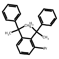 CC(C)c1cccc(C(C)(C)c2ccccc2)c1C(C)(C)c1ccccc1